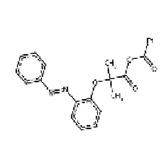 CCC(=O)OC(=O)C(C)(C)Oc1ccccc1N=Nc1ccccc1